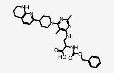 Cc1nc(NCC(NC(=O)OCc2ccccc2)C(=O)O)c(C)c(N2CCC(c3ccc4c(n3)NCCC4)CC2)n1